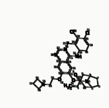 C=CC(=O)N1C2CCC1CC(Oc1cc3c(NC4CC=C(Cl)C(Cl)=C4F)ncnc3cc1OCCN1CCC1)C2